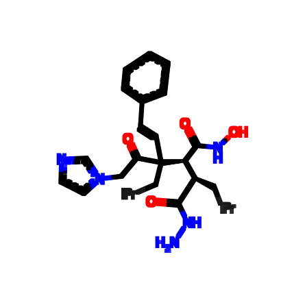 CC(C)C[C@@H](C(=O)NN)[C@H](C(=O)NO)C(/C=C/c1ccccc1)(CC(C)C)C(=O)Cn1ccnc1